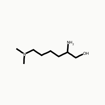 CN(C)CCCCC(N)CO